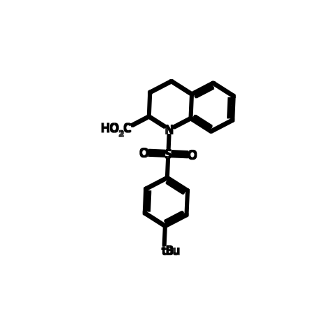 CC(C)(C)c1ccc(S(=O)(=O)N2c3ccccc3CCC2C(=O)O)cc1